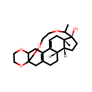 CC1OCCOC23CC4=C(CC2OCCO3)C2=CC[C@@]3(C)[C@H](CC[C@@]13O)[C@@H]2CC4